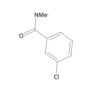 C[N]C(=O)c1cccc(Cl)c1